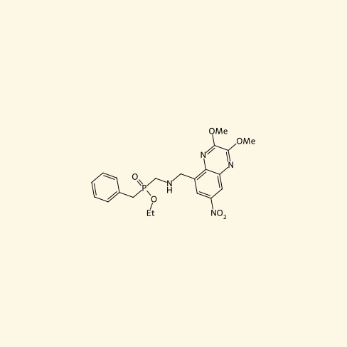 CCOP(=O)(CNCc1cc([N+](=O)[O-])cc2nc(OC)c(OC)nc12)Cc1ccccc1